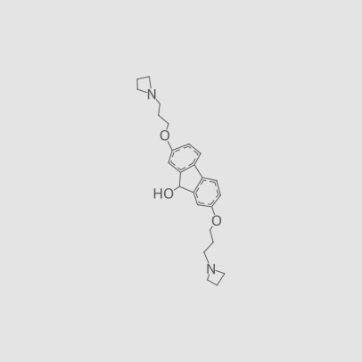 OC1c2cc(OCCCN3CCC3)ccc2-c2ccc(OCCCN3CCC3)cc21